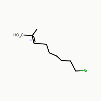 C/C(=C\CCCCCCBr)C(=O)O